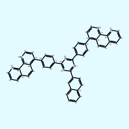 c1ccc2cc(-c3nc(-c4ccc(-c5ccnc6c5ccc5cccnc56)cc4)nc(-c4ccc(-c5ccnc6c5ccc5cccnc56)cc4)n3)ccc2c1